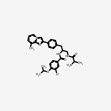 Cc1cccn2cc(-c3ccc(CC(CNC(=O)C(C)N)NC(=O)c4ccc(OC(C)C)c(Cl)c4)cc3)nc12